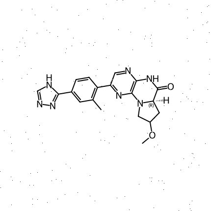 COC1C[C@@H]2C(=O)Nc3ncc(-c4ccc(-c5nnc[nH]5)cc4C)nc3N2C1